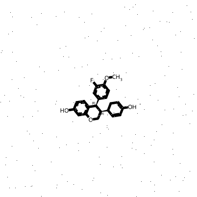 COc1ccc([C@@H]2c3ccc(O)cc3OC[C@@H]2C2C=CC(O)=CC2)cc1F